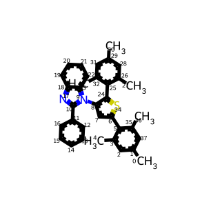 Cc1cc(C)c(-c2cc(-n3c(-c4ccccc4)nc4ccccc43)c(-c3c(C)cc(C)cc3C)s2)c(C)c1